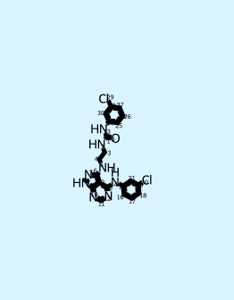 O=C(NCCNc1n[nH]c2ncnc(Nc3cccc(Cl)c3)c12)Nc1cccc(Cl)c1